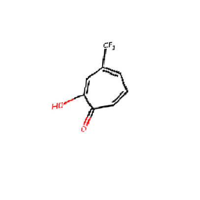 O=c1cccc(C(F)(F)F)cc1O